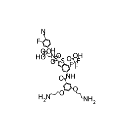 N#Cc1ccc(OP(=O)(O)CNS(=O)(=O)c2cc3cc(NC(=O)c4cc(OCCCN)cc(OCCCN)c4)ccc3s2)cc1F.O=C(O)C(F)(F)F